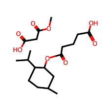 CC1CCC(C(C)C)C(OC(=O)CCCC(=O)O)C1.COC(=O)CC(=O)O